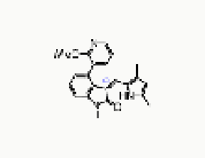 COc1ncccc1-c1cccc2c1/C(=C/c1[nH]c(C)cc1C)C(=O)N2